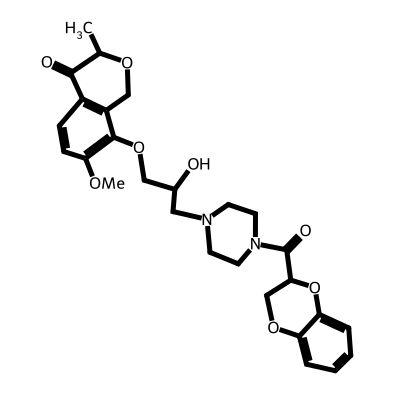 COc1ccc2c(c1OCC(O)CN1CCN(C(=O)C3COc4ccccc4O3)CC1)COC(C)C2=O